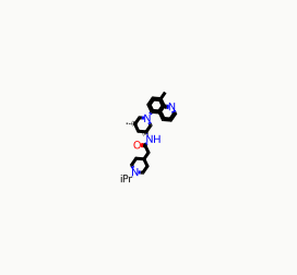 Cc1ccc(N2C[C@@H](C)C[C@@H](NC(=O)CC3CCN(C(C)C)CC3)C2)c2cccnc12